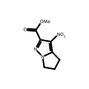 COC(=O)c1nn2c(c1[N+](=O)[O-])CCC2